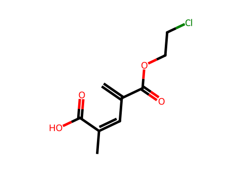 C=C(C=C(C)C(=O)O)C(=O)OCCCl